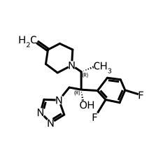 C=C1CCN([C@H](C)[C@](O)(Cn2cnnc2)c2ccc(F)cc2F)CC1